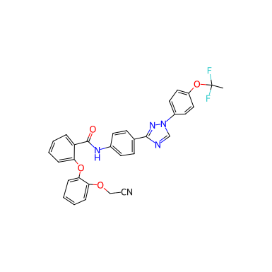 CC(F)(F)Oc1ccc(-n2cnc(-c3ccc(NC(=O)c4ccccc4Oc4ccccc4OCC#N)cc3)n2)cc1